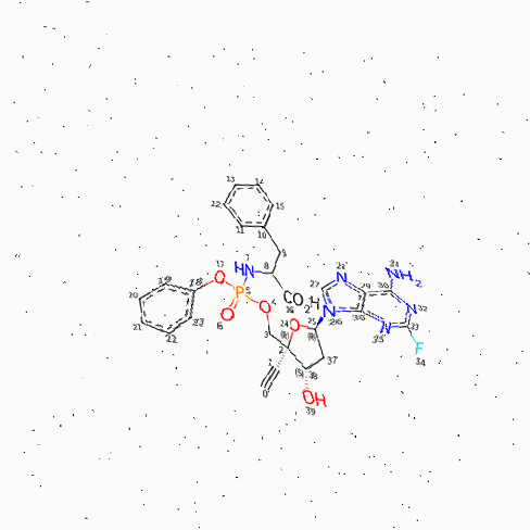 C#C[C@]1(COP(=O)(NC(Cc2ccccc2)C(=O)O)Oc2ccccc2)O[C@@H](n2cnc3c(N)nc(F)nc32)C[C@@H]1O